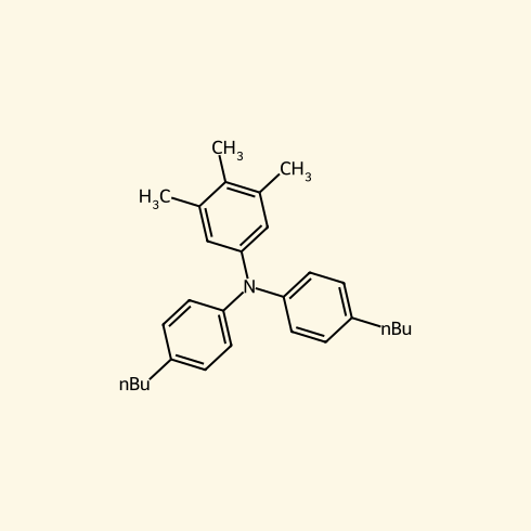 CCCCc1ccc(N(c2ccc(CCCC)cc2)c2cc(C)c(C)c(C)c2)cc1